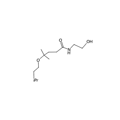 CC(C)CCOC(C)(C)CCC(=O)NCCO